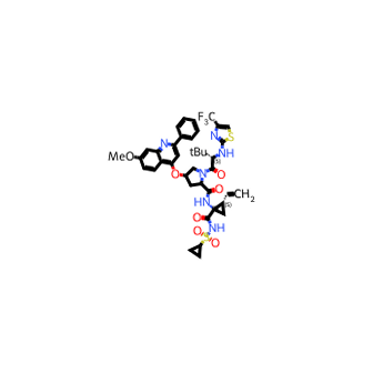 C=C[C@@H]1C[C@]1(NC(=O)C1CC(Oc2cc(-c3ccccc3)nc3cc(OC)ccc23)CN1C(=O)[C@@H](Nc1nc(C(F)(F)F)cs1)C(C)(C)C)C(=O)NS(=O)(=O)C1CC1